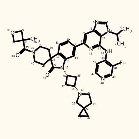 CC(C)n1cnc2cc(-c3ccc4c(c3)N([C@H]3C[C@@H](N5CCC6(CC6)C5)C3)C(=O)C43CCN(C(=O)C4(C)COC4)CC3)nc(Nc3ccncc3F)c21